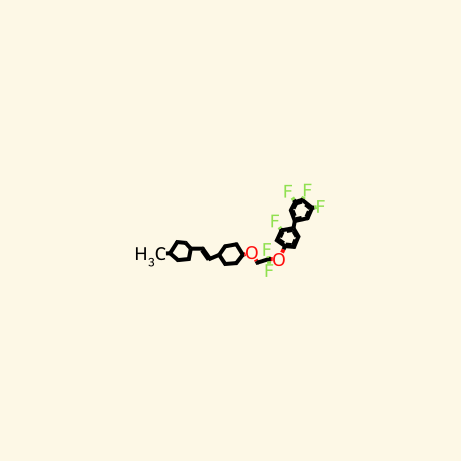 CC1CCC(/C=C/C2CCC(OCC(F)(F)Oc3ccc(-c4cc(F)c(F)c(F)c4)c(F)c3)CC2)CC1